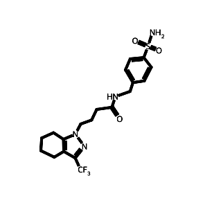 NS(=O)(=O)c1ccc(CNC(=O)CCCn2nc(C(F)(F)F)c3c2CCCC3)cc1